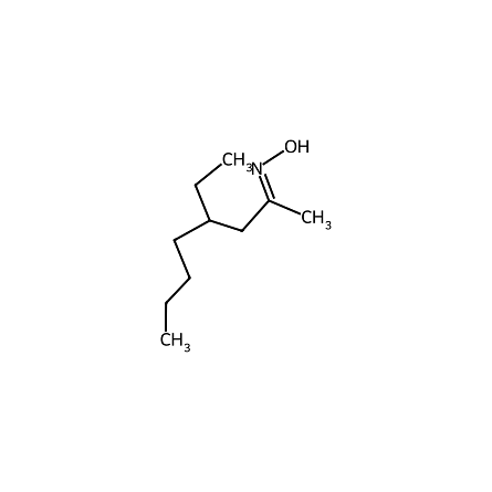 CCCCC(CC)CC(C)=NO